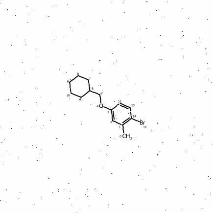 Cc1cc(OCC2CCCCC2)ccc1Br